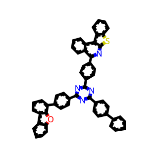 c1ccc(-c2ccc(-c3nc(-c4ccc(-c5nc6sc7ccccc7c6c6ccccc56)cc4)nc(-c4ccc(-c5cccc6c5oc5ccccc56)cc4)n3)cc2)cc1